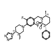 C[C@H]1CC[C@H](c2ccccc2)S(=O)(=O)N1Cc1cc(F)c(N2CC[C@H](n3cnnc3)[C@H](F)C2)cc1F